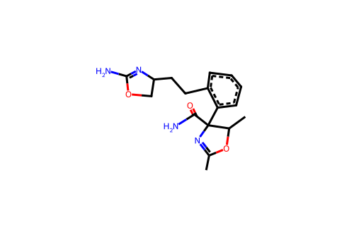 CC1=NC(C(N)=O)(c2ccccc2CCC2COC(N)=N2)C(C)O1